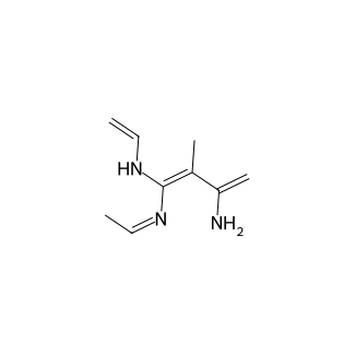 C=CNC(/N=C\C)=C(\C)C(=C)N